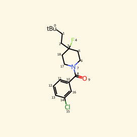 CC(C)(C)CCC1(F)CCN(C(=O)c2cccc(Cl)c2)CC1